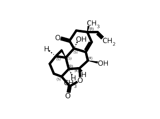 C=C[C@]1(C)C=C2[C@@H](O)[C@@H]3OC(=O)[C@@]4(C)CC[C@H]5C[C@]5([C@@H]34)[C@@]2(O)C(=O)C1